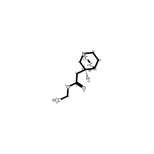 CCOC(=O)C[C@H]1CN2CCC1CC2